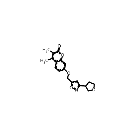 Cc1c(C)c2ccc(OCc3cc(C4CCOC4)no3)cc2oc1=O